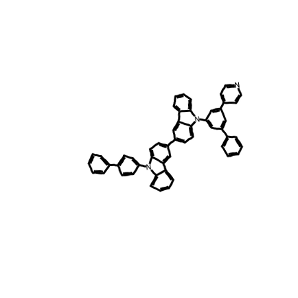 c1ccc(-c2ccc(-n3c4ccccc4c4cc(-c5ccc6c(c5)c5ccccc5n6-c5cc(-c6ccccc6)cc(-c6ccncc6)c5)ccc43)cc2)cc1